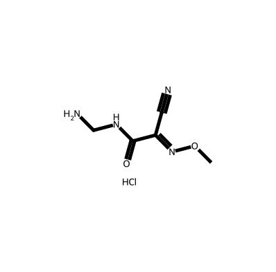 CO/N=C(\C#N)C(=O)NCN.Cl